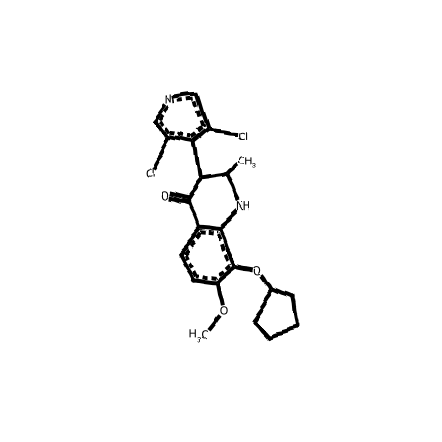 COc1ccc2c(c1OC1CCCC1)NC(C)C(c1c(Cl)cncc1Cl)C2=O